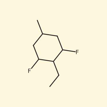 CCC1C(F)CC(C)CC1F